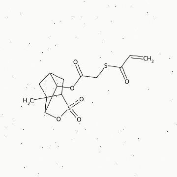 C=CC(=O)SCC(=O)OC1C2CC3C(C)(C2)C1OS3(=O)=O